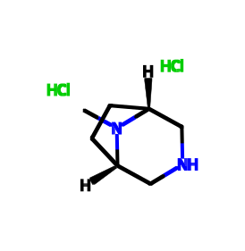 CN1[C@@H]2CC[C@H]1CNC2.Cl.Cl